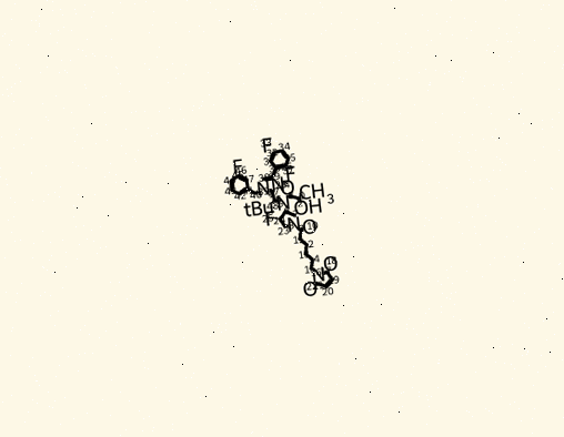 C[C@H](O)C(=O)N(C1CN(C(=O)CCCCCN2C(=O)C=CC2=O)C[C@@H]1F)[C@@H](c1nc(-c2cc(F)ccc2F)cn1Cc1cccc(F)c1)C(C)(C)C